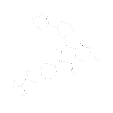 CN(C)C1(C(=O)N[C@H]2CC[C@@H](n3c(=O)c4cc(F)cnc4n(-c4cccc(-c5ccccc5)c4)c3=O)CC2)CC1